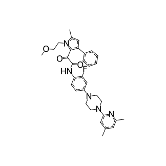 COCCn1c(C)cc(-c2ccccc2)c1C(=O)C(=O)Nc1ccc(N2CCN(c3cc(C)cc(C)n3)CC2)cc1F